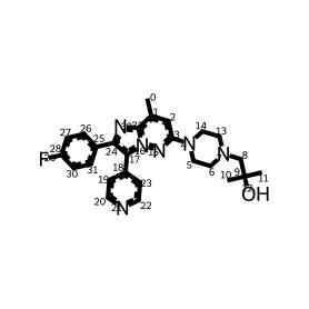 Cc1cc(N2CCN(CC(C)(C)O)CC2)nn2c(-c3ccncc3)c(-c3ccc(F)cc3)nc12